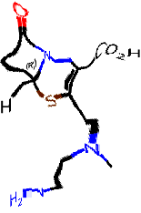 CN(CCN)CC1=C(C(=O)O)N2C(=O)C[C@H]2S1